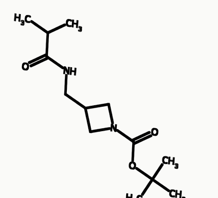 CC(C)C(=O)NCC1CN(C(=O)OC(C)(C)C)C1